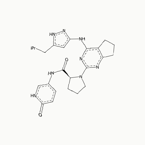 CC(C)Cc1cc(Nc2nc(N3CCC[C@H]3C(=O)Nc3ccc(=O)[nH]c3)nc3c2CCC3)n[nH]1